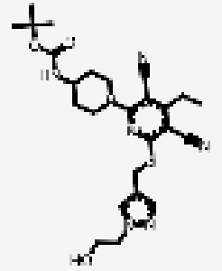 CCc1c(C#N)c(SCc2cnn(CCO)c2)nc(N2CCC(NC(=O)OC(C)(C)C)CC2)c1C#N